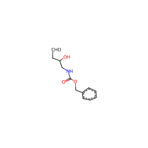 O=CCC(O)CNC(=O)OCc1ccccc1